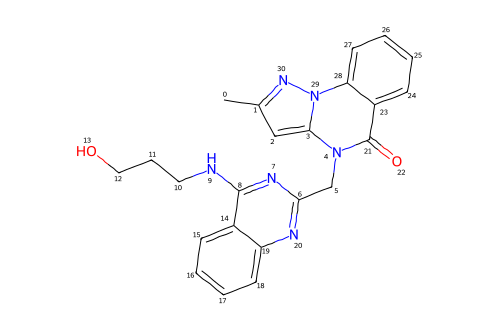 Cc1cc2n(Cc3nc(NCCCO)c4ccccc4n3)c(=O)c3ccccc3n2n1